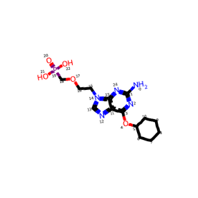 Nc1nc(OC2CCCCC2)c2ncn(CCOCP(=O)(O)O)c2n1